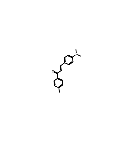 Cc1ccc(C(=O)/C=C/c2ccc(N(C)C)cc2)cc1